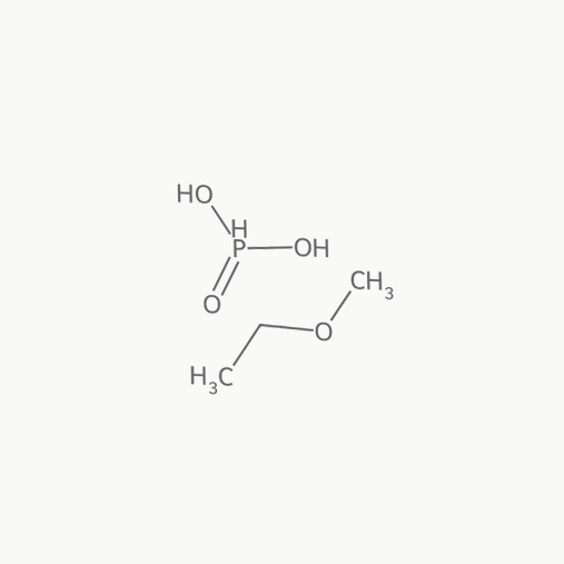 CCOC.O=[PH](O)O